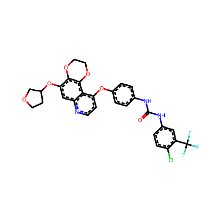 O=C(Nc1ccc(Oc2ccnc3cc(OC4CCOC4)c4c(c23)OCCO4)cc1)Nc1ccc(Cl)c(C(F)(F)F)c1